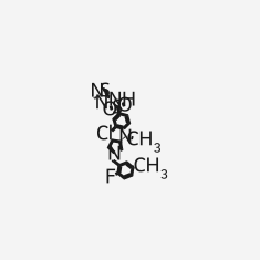 Cc1ccc(F)c(CN2CC[C@H](N(C)c3ccc(S(=O)(=O)Nc4ncns4)cc3Cl)C2)c1